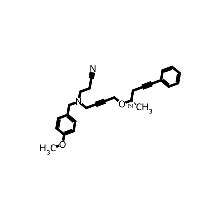 COc1ccc(CN(CC#CCO[C@@H](C)CC#Cc2ccccc2)CCC#N)cc1